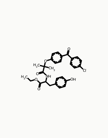 CCOC(=O)C(Cc1ccc(O)cc1)NC(=O)C(C)(C)Oc1ccc(C(=O)c2ccc(Cl)cc2)cc1